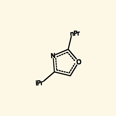 CCCc1nc(C(C)C)co1